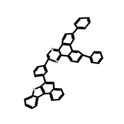 c1ccc(-c2ccc3c(c2)c2cc(-c4ccccc4)ccc2c2nc(-c4cccc(-c5cc6ccccc6c6c5oc5ccccc56)c4)cnc32)cc1